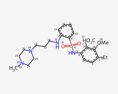 CCc1ccc(NS(=O)(=O)c2ccccc2NCCCN2CCN(C)CC2)c(C(=O)O)c1OC